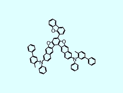 Cc1ccc(-c2ccccc2)cc1N(c1ccccc1)c1ccc2cc3c(cc2c1)oc1cc(-c2cccc4c2oc2ccccc24)c2oc4cc5cc(N(c6ccccc6)c6cc(-c7ccccc7)ccc6C)ccc5cc4c2c13